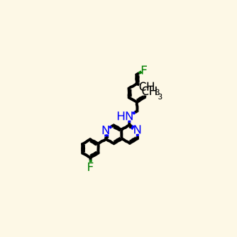 C\C=C(/C=C\C(C)=C\F)CNc1nccc2cc(-c3cccc(F)c3)ncc12